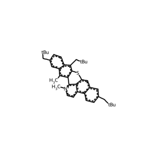 Cc1c2c(c(CC(C)(C)C)c3ccc(CC(C)(C)C)cc13)Sc1cc3cc(CC(C)(C)C)ccc3c3cc[n+](C)c-2c13